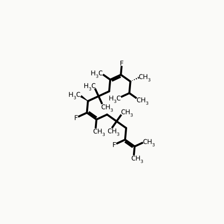 CC(C)=C(F)CC(C)(C)C/C(C)=C(/F)[C@@H](C)C(C)(C)C/C(C)=C(/F)[C@H](C)C(C)C